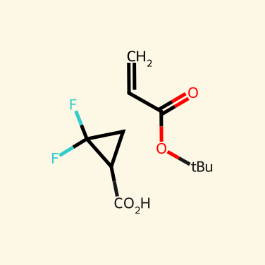 C=CC(=O)OC(C)(C)C.O=C(O)C1CC1(F)F